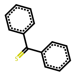 S=C(c1ccccc1)c1ccccc1